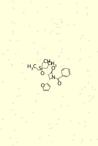 CC[Si](CC)(CC)O[C@@H]1C(=O)N(C(=O)c2ccccc2)[C@@H]1c1ccco1